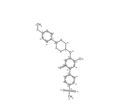 CCc1cnc(N2CCC(Oc3cc(=S)n(-c4ccc(S(C)(=O)=O)cn4)cc3Cl)CC2)nc1